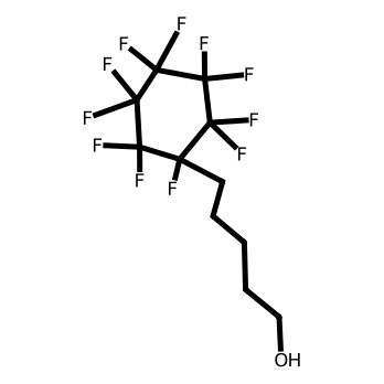 OCCCCCC1(F)C(F)(F)C(F)(F)C(F)(F)C(F)(F)C1(F)F